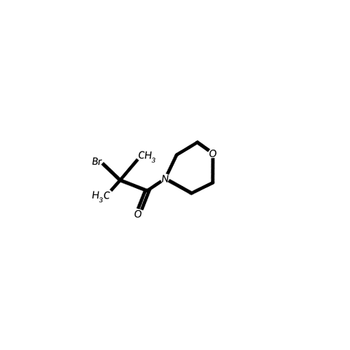 CC(C)(Br)C(=O)N1CCOCC1